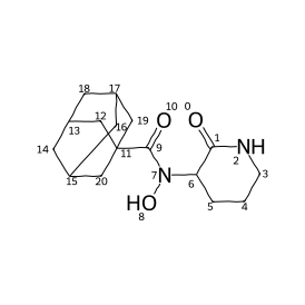 O=C1NCCCC1N(O)C(=O)C12CC3CC(CC(C3)C1)C2